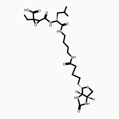 CCC1(C(=O)O)OC1C(=O)N[C@@H](CC(C)C)C(=O)NCCCCNC(=O)CCCC[C@@H]1SC[C@@H]2NC(=O)N[C@@H]21